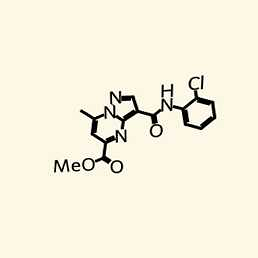 COC(=O)c1cc(C)n2ncc(C(=O)Nc3ccccc3Cl)c2n1